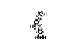 CN1c2cc(C3Cc4cn[nH]c4C3)ccc2NCC1c1ccc2c(c1)CNNC2